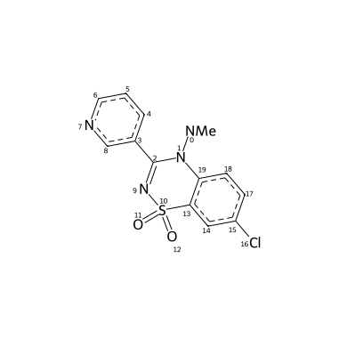 CNN1C(c2cccnc2)=NS(=O)(=O)c2cc(Cl)ccc21